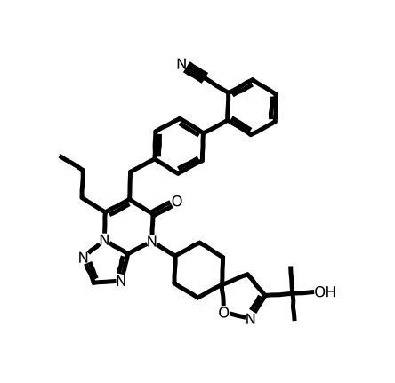 CCCc1c(Cc2ccc(-c3ccccc3C#N)cc2)c(=O)n(C2CCC3(CC2)CC(C(C)(C)O)=NO3)c2ncnn12